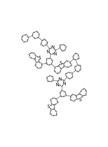 c1ccc(-c2cccc(-c3ccc(-c4nc(-c5ccccc5)nc(-c5cc(-c6cccc7c6sc6ccccc67)cc(-c6cccc7c6sc6cc(-c8ccccc8-c8cccc(-c9ccc(-c%10nc(-c%11ccccc%11)nc(-c%11cc(-c%12ccc%13sc%14ccccc%14c%13c%12)cc(-c%12ccc%13sc%14ccccc%14c%13c%12)c%11)n%10)cc9)c8)ccc67)c5)n4)cc3)c2)cc1